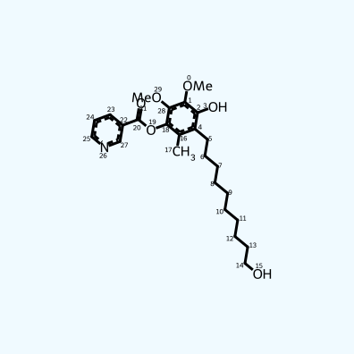 COc1c(O)c(CCCCCCCCCCO)c(C)c(OC(=O)c2cccnc2)c1OC